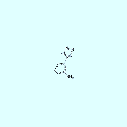 Nc1cccc(-n2[c]nnn2)c1